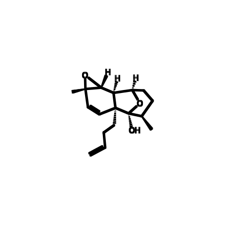 C=CCC[C@]12C=C[C@]3(C)O[C@@H]3[C@H]1[C@H]1CC[C@@H](C)[C@]2(O)O1